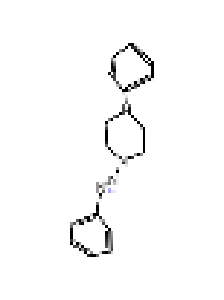 c1ccc(/N=N/N2CCN(c3ccccn3)CC2)cc1